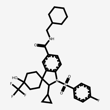 O=C(NCC1CCCCC1)c1ccc2c(c1)C1(CCC(O)(C(F)(F)F)CC1)C(C1CC1)N2S(=O)(=O)c1ccc(F)cc1